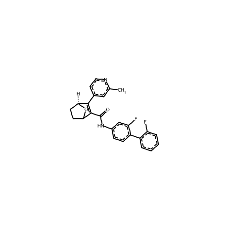 Cc1cc(C2=C(C(=O)Nc3ccc(-c4ccccc4F)c(F)c3)C3CC[C@@H]2O3)ccn1